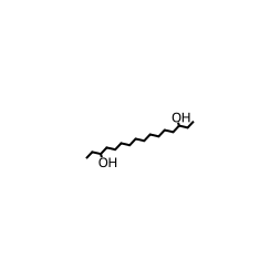 CCC(O)CCCCCCCCCCC(O)CC